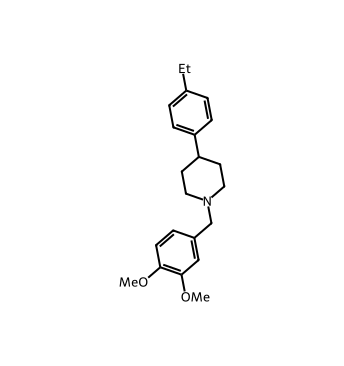 CCc1ccc(C2CCN(Cc3ccc(OC)c(OC)c3)CC2)cc1